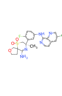 C[C@@]1(c2cc(Nc3nccc4cc(Cl)cnc34)ccc2F)CS(=O)(=O)C2(CCOC2)C(N)=N1